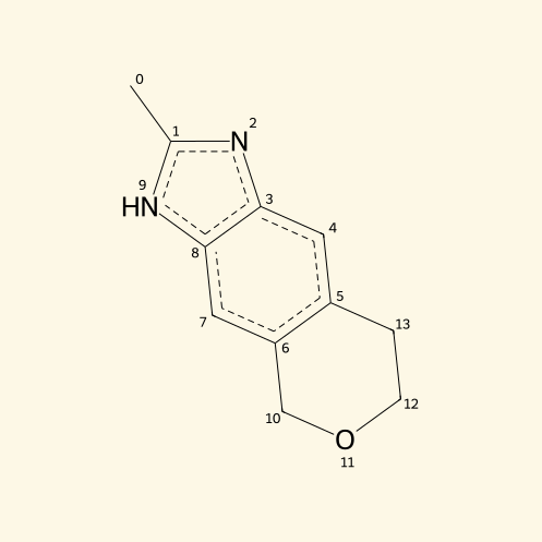 Cc1nc2cc3c(cc2[nH]1)COCC3